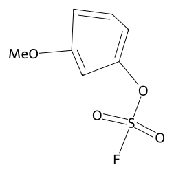 COc1cccc(OS(=O)(=O)F)c1